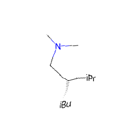 CC[C@@H](C)C(CN(C)C)C(C)C